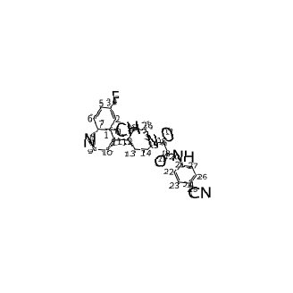 CC12C=C(F)C=CC1N=CC=C2C1CCN(C(=O)C(=O)Nc2ccc(C#N)cc2)CC1